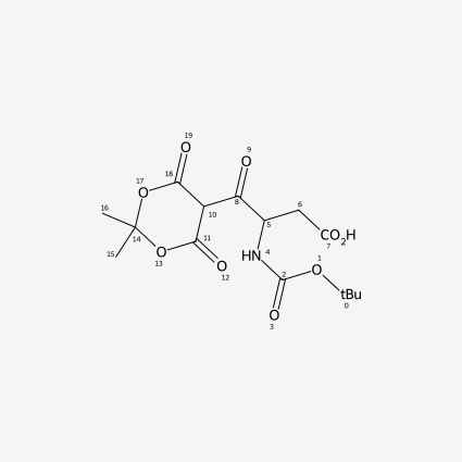 CC(C)(C)OC(=O)NC(CC(=O)O)C(=O)C1C(=O)OC(C)(C)OC1=O